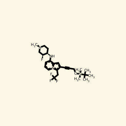 CN1CC[C@@H](Nc2cccn3c(CC(F)(F)F)c(C#CCO[Si](C)(C)C(C)(C)C)cc23)[C@@H](F)C1